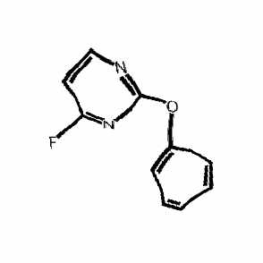 Fc1ccnc(Oc2ccccc2)n1